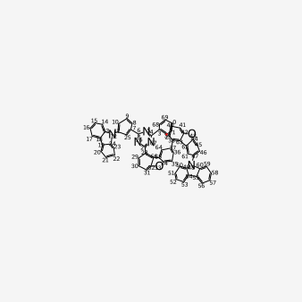 c1ccc(-c2nc(-c3cccc(-n4c5ccccc5c5ccccc54)c3)nc(-c3cccc4oc5ccc(-c6cccc7oc8ccc(-n9c%10ccccc%10c%10ccccc%109)cc8c67)cc5c34)n2)cc1